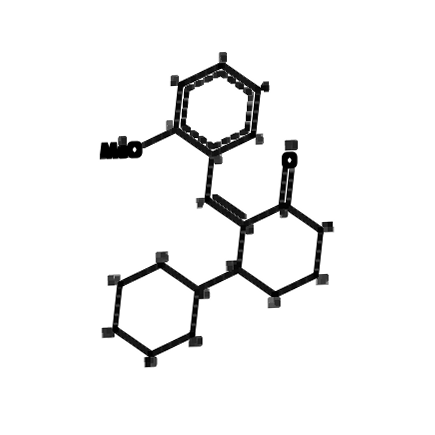 COc1ccccc1/C=C1\C(=O)CCCC1C1CCCCC1